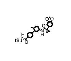 Cc1ccc(NC(=O)C2(c3ccc4c(c3)OCO4)CC2)cc1-c1ccc(C(=O)NC(C)(C)C)cc1